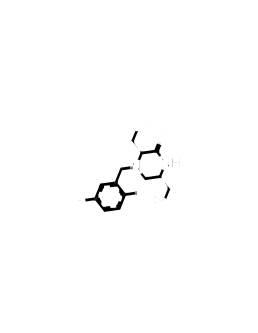 CC(C)C[C@H]1CN(Cc2cc(F)ccc2F)[C@@H](CC(C)C)C(=O)N1